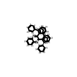 c1ccc(C2CC[C@@H](c3ccccc3)C2c2nc3ccccc3nc2C2C(c3ccccc3)CC[C@H]2c2ccccc2)cc1